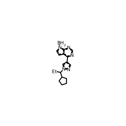 Bn1ccc2c(-c3cnn(C(CC)C4CCCC4)c3)ncnc21